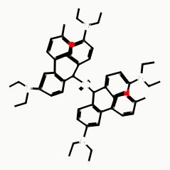 CCN(CC)c1ccc(C(c2ccc(N(CC)CC)cc2-c2ccc(C)cc2)S(=O)(=O)C(c2ccc(N(CC)CC)cc2)c2ccc(N(CC)CC)cc2-c2ccc(C)cc2)cc1